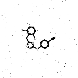 N#Cc1ccc(Nc2noc(Cc3c(Cl)cccc3Cl)n2)cc1